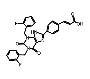 O=C(O)C=Cc1ccc(-c2nc3c(=O)n(Cc4ccccc4F)c(=O)n(Cc4ccccc4F)c3[nH]2)cc1